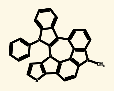 Cn1c2cccc3c2c2c1ccc1c4sccc4n(c12)c1c3c2ccccc2n1-c1ccccc1